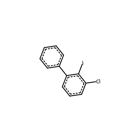 Clc1cccc(-c2ccccc2)c1I